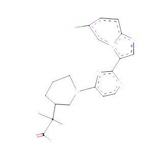 CC(C)(C(=O)O)C1CCCN(c2ccnc(-c3cnc4ccc(Cl)cn34)n2)C1